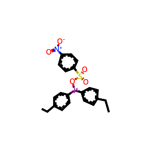 CCc1ccc([I+](OS(=O)(=O)c2ccc([N+](=O)[O-])cc2)c2ccc(CC)cc2)cc1